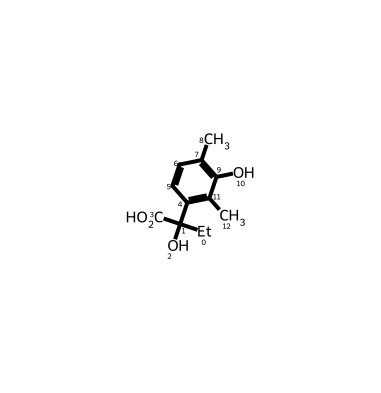 CCC(O)(C(=O)O)c1ccc(C)c(O)c1C